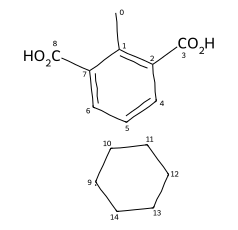 Cc1c(C(=O)O)cccc1C(=O)O.[CH]1CCCCC1